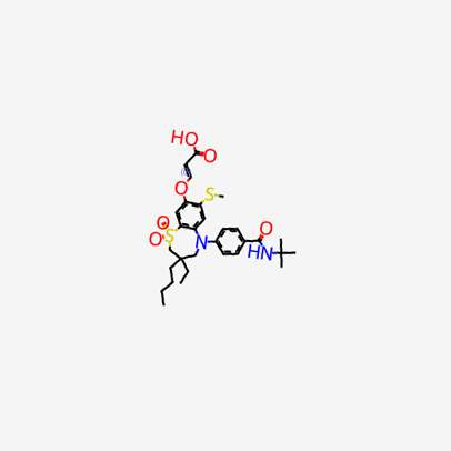 CCCCC1(CC)CN(c2ccc(C(=O)NC(C)(C)C)cc2)c2cc(SC)c(O/C=C/C(=O)O)cc2S(=O)(=O)C1